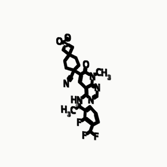 C[C@@H](Nc1ncnc2c1cc(C1(C#N)CCC3(CC1)CS(=O)(=O)C3)c(=O)n2C)c1cccc(C(F)F)c1F